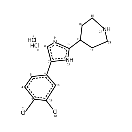 Cl.Cl.Clc1ccc(-c2cnc(C3CCNCC3)[nH]2)cc1Cl